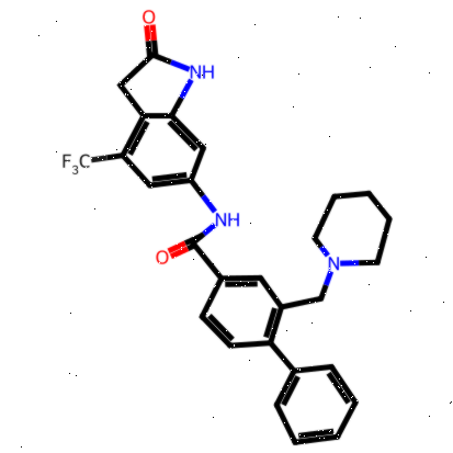 O=C1Cc2c(cc(NC(=O)c3ccc(-c4ccccc4)c(CN4CCCCC4)c3)cc2C(F)(F)F)N1